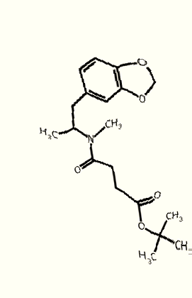 CC(Cc1ccc2c(c1)OCO2)N(C)C(=O)CCC(=O)OC(C)(C)C